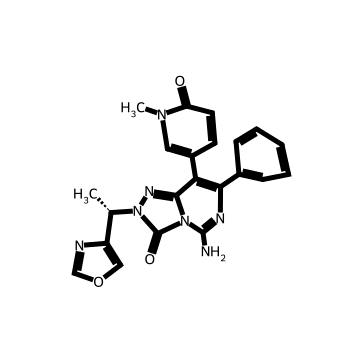 C[C@@H](c1cocn1)n1nc2c(-c3ccc(=O)n(C)c3)c(-c3ccccc3)nc(N)n2c1=O